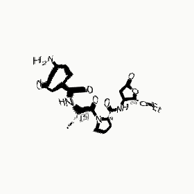 CCO[C@H]1OC(=O)CC1NC(=O)[C@@H]1CCCN1C(=O)[C@H](C)NC(=O)c1ccc(N)c(Cl)c1